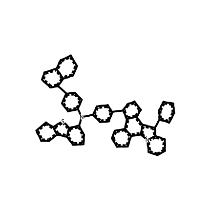 c1ccc(-c2c3c4cccc(-c5ccc(N(c6ccc(-c7cccc8ccccc78)cc6)c6cccc7c6sc6ccccc67)cc5)c4c4ccccc4c3n3ccccc23)cc1